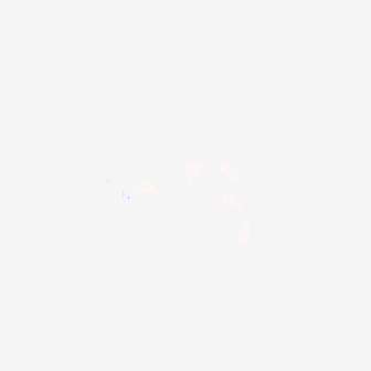 C=CC(=O)OCC(CON1C(C)(C)CCCC1(C)C)OC(=O)C=C